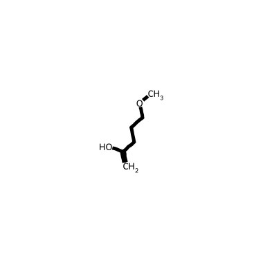 C=C(O)CCCOC